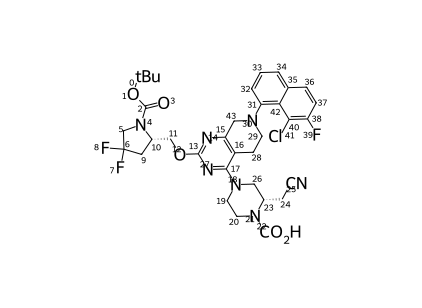 CC(C)(C)OC(=O)N1CC(F)(F)C[C@H]1COc1nc2c(c(N3CCN(C(=O)O)[C@@H](CC#N)C3)n1)CCN(c1cccc3ccc(F)c(Cl)c13)C2